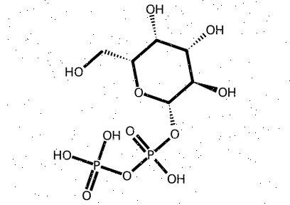 O=P(O)(O)OP(=O)(O)O[C@@H]1O[C@H](CO)[C@H](O)[C@H](O)[C@H]1O